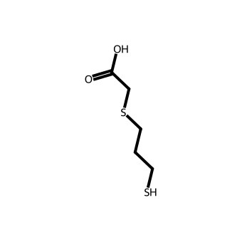 O=C(O)CSCCCS